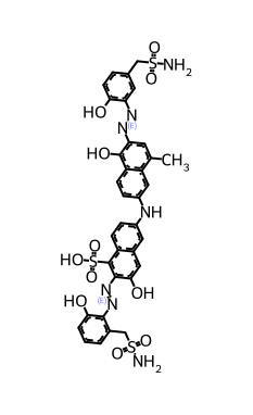 Cc1cc(/N=N/c2cc(CS(N)(=O)=O)ccc2O)c(O)c2ccc(Nc3ccc4c(S(=O)(=O)O)c(/N=N/c5c(O)cccc5CS(N)(=O)=O)c(O)cc4c3)cc12